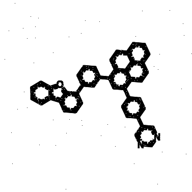 c1cc(-c2cc(-c3ccc(-c4cncnc4)cc3)c3ccc4cccc5ccc2c3c45)cc(-c2cccc3c2oc2ccccc23)c1